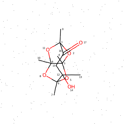 CC12OC3(C)OC(C)(OC3(C)O1)C(C)(O)CC2=O